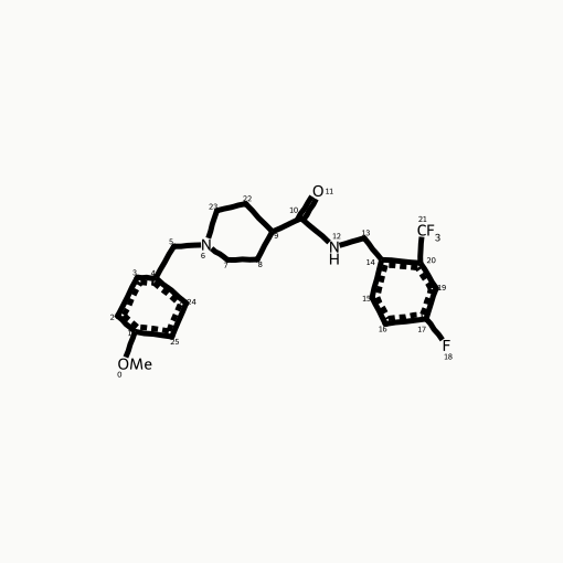 COc1ccc(CN2CCC(C(=O)NCc3ccc(F)cc3C(F)(F)F)CC2)cc1